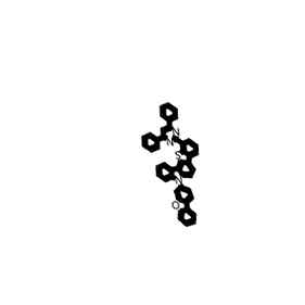 c1ccc(-c2cc(-c3ccccc3)nc(-c3cccc4c3sc3c4ccc4c3c3ccccc3n4-c3ccc4c(c3)oc3ccccc34)n2)cc1